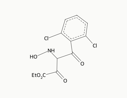 CCOC(=O)C(=O)C(NO)C(=O)c1c(Cl)cccc1Cl